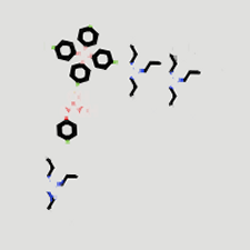 CCCCN(CCCC)CCCC.CCCCN(CCCC)CCCC.CCCC[NH+](CCCC)CCCC.Fc1ccc([B-](c2ccc(F)cc2)(c2ccc(F)cc2)c2ccc(F)cc2)cc1.OB(O)Oc1ccc(F)cc1